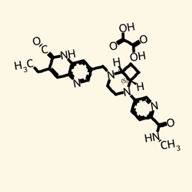 CCC1=Cc2ncc(CN3CCN(c4ccc(C(=O)NC)nc4)[C@H]4CC[C@H]43)cc2NC1=C=O.O=C(O)C(=O)O